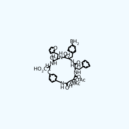 Bc1ccc(C[C@@H]2NC(=O)[C@@H](Cc3ccccc3)NC(=O)[C@H](OC(C)=O)[C@@H](OC(C)=O)C(=O)Nc3ccc(cc3)C[C@H](C(=O)O)NC(=O)[C@@H](Cc3ccco3)NC2=O)cc1